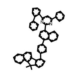 CC1(C)c2cccc(-c3ccc(-c4ccc(-c5nc(-c6ccccc6)cc(-c6ccccc6-c6ccccc6)n5)c5ccccc45)cc3)c2-c2ccc3ccccc3c21